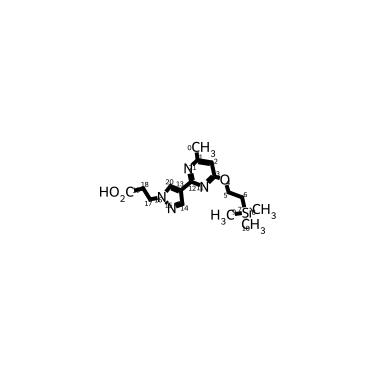 Cc1cc(OCC[Si](C)(C)C)nc(-c2cnn(CCC(=O)O)c2)n1